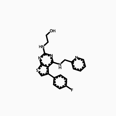 OCCNc1nc(NCc2ccccn2)c2c(-c3ccc(F)cc3)csc2n1